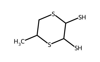 CC1CSC(S)C(S)S1